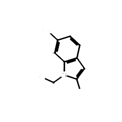 CC(C)c1cc2ccc(C(C)(C)C)cc2n1CO